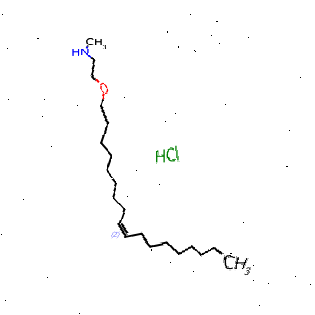 CCCCCCCC/C=C\CCCCCCCCOCCNC.Cl